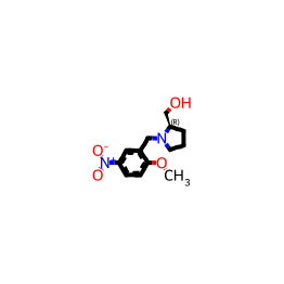 COc1ccc([N+](=O)[O-])cc1CN1CCC[C@@H]1CO